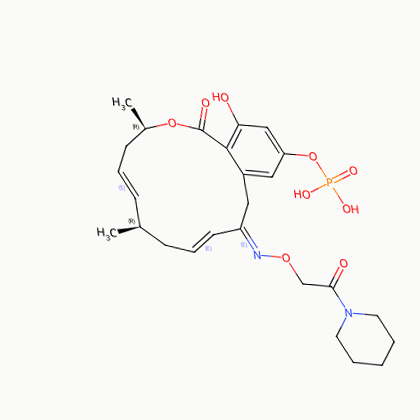 C[C@@H]1C/C=C/[C@H](C)C/C=C/C(=N/OCC(=O)N2CCCCC2)Cc2cc(OP(=O)(O)O)cc(O)c2C(=O)O1